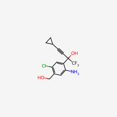 Nc1cc(CO)c(Cl)cc1C(O)(C#CC1CC1)C(F)(F)F